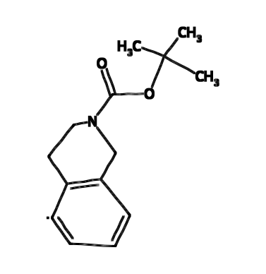 CC(C)(C)OC(=O)N1CCc2[c]cccc2C1